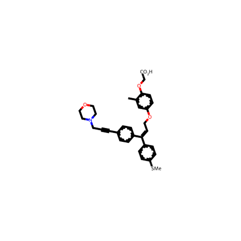 CSc1ccc(/C(=C/COc2ccc(OCC(=O)O)c(C)c2)c2ccc(C#CCN3CCOCC3)cc2)cc1